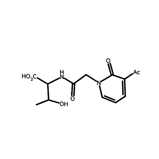 CC(=O)c1cccn(CC(=O)NC(C(=O)O)C(C)O)c1=O